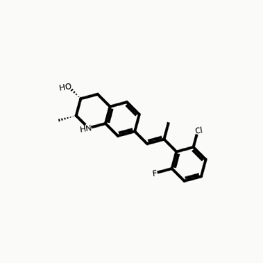 C/C(=C\c1ccc2c(c1)N[C@H](C)[C@H](O)C2)c1c(F)cccc1Cl